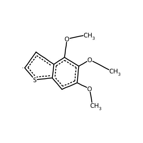 COc1cc2s[c]cc2c(OC)c1OC